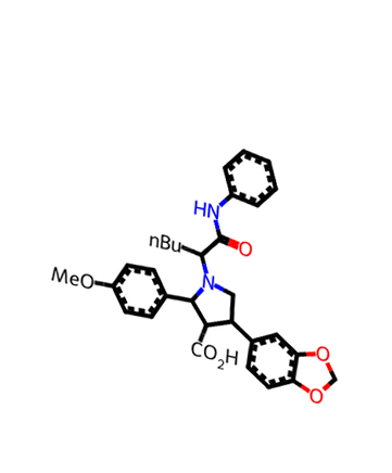 CCCCC(C(=O)Nc1ccccc1)N1CC(c2ccc3c(c2)OCO3)C(C(=O)O)C1c1ccc(OC)cc1